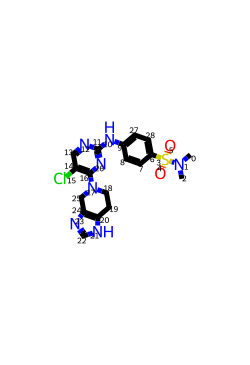 CN(C)S(=O)(=O)c1ccc(Nc2ncc(Cl)c(N3CCc4[nH]cnc4C3)n2)cc1